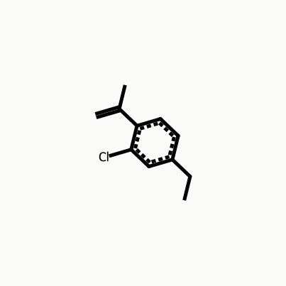 C=C(C)c1ccc(CC)cc1Cl